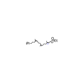 CCC(=O)OC/C=C(\C)CCC[C@H](C)CCC[C@H](C)CCCC(C)C